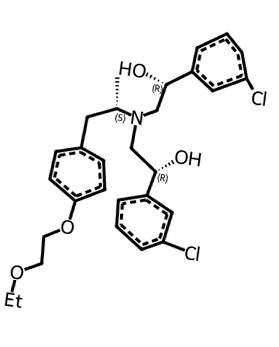 CCOCCOc1ccc(C[C@H](C)N(C[C@H](O)c2cccc(Cl)c2)C[C@H](O)c2cccc(Cl)c2)cc1